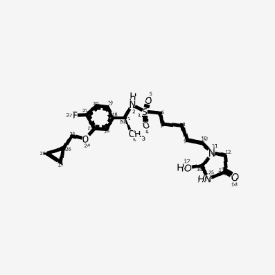 C[C@H](NS(=O)(=O)CCCCCN1CC(=O)NC1O)c1ccc(F)c(OCC2CC2)c1